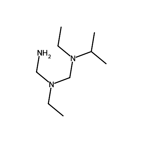 CCN(CN)CN(CC)C(C)C